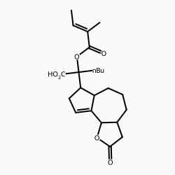 CC=C(C)C(=O)OC(CCCC)(C(=O)O)C1CC=C2C1CCCC1CC(=O)OC21